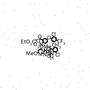 CCOC(=O)COC(=O)c1cc(Oc2ccc(C(F)(F)F)cc2Cl)ccc1[N+](=O)[O-].COc1cc(OC)n2nc(S(=O)(=O)Nc3c(Cl)ccc(C)c3Cl)nc2n1